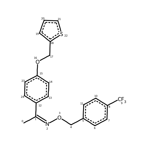 CC(=NOCc1ccc(C(F)(F)F)cc1)c1ccc(OCc2cccs2)cc1